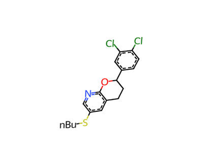 CCCCSc1cnc2c(c1)CCC(c1ccc(Cl)c(Cl)c1)O2